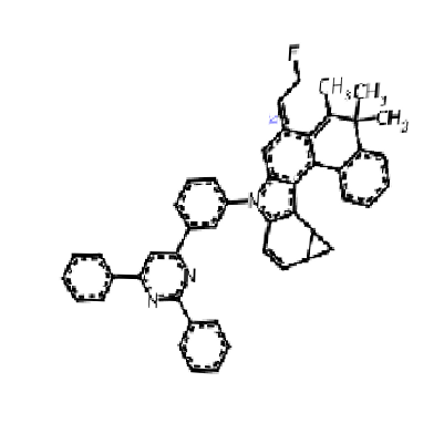 CC1=c2c(c3c4c(n(-c5cccc(-c6cc(-c7ccccc7)nc(-c7ccccc7)n6)c5)c3c/c2=C/CF)C=CC2CC42)-c2ccccc2C1(C)C